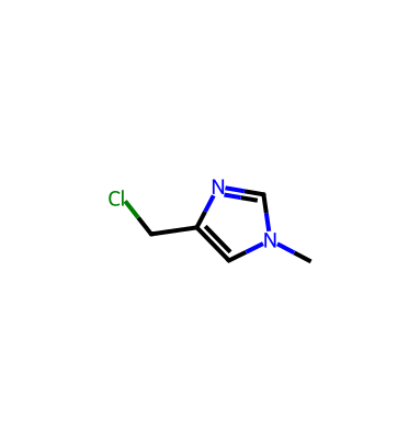 Cn1cnc(CCl)c1